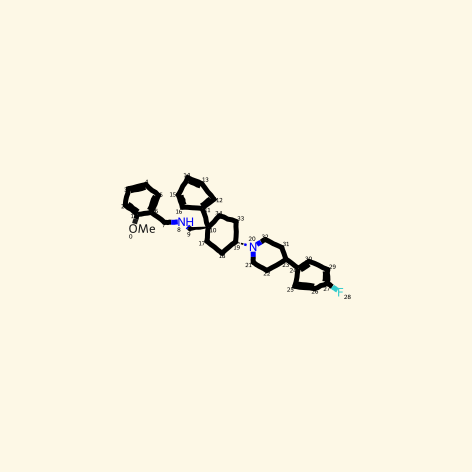 COc1ccccc1CNC[C@]1(c2ccccc2)CC[C@@H](N2CCC(c3ccc(F)cc3)CC2)CC1